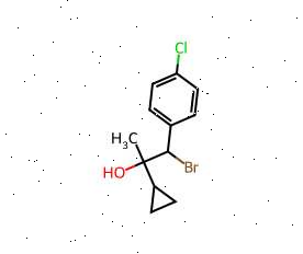 CC(O)(C1CC1)C(Br)c1ccc(Cl)cc1